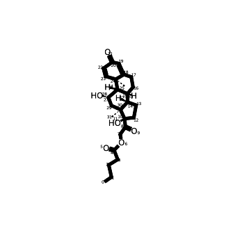 CCCCC(=O)OCC(=O)[C@@]1(O)CC[C@H]2[C@@H]3CCC4=CC(=O)C=C[C@]4(C)[C@H]3[C@@H](O)C[C@@]21C